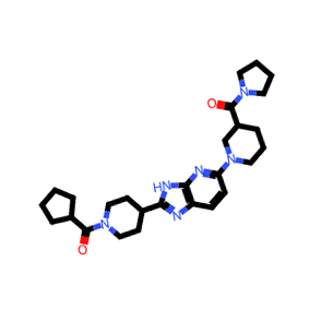 O=C(C1CCCC1)N1CCC(c2nc3ccc(N4CCCC(C(=O)N5CCCC5)C4)nc3[nH]2)CC1